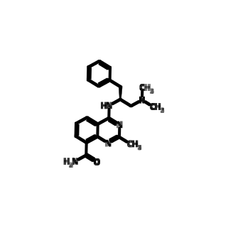 Cc1nc(N[C@@H](Cc2ccccc2)CN(C)C)c2cccc(C(N)=O)c2n1